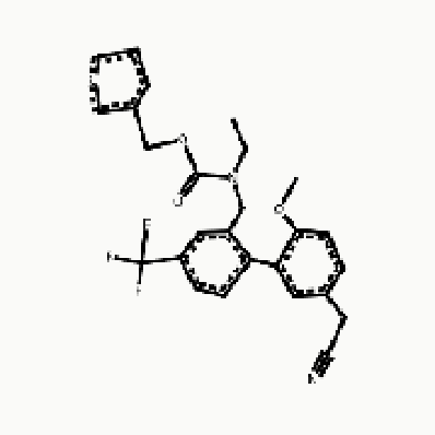 CCN(Cc1cc(C(F)(F)F)ccc1-c1cc(CC#N)ccc1OC)C(=O)OCc1ccccc1